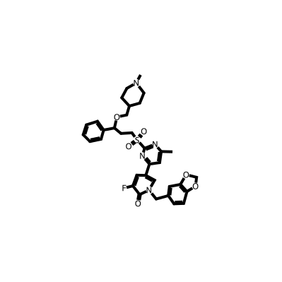 Cc1cc(-c2cc(F)c(=O)n(Cc3ccc4c(c3)OCO4)c2)nc(S(=O)(=O)CCC(OCC2CCN(C)CC2)c2ccccc2)n1